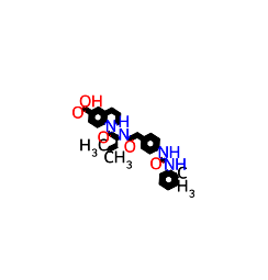 Cc1ccccc1NC(=O)Nc1ccc(CC(=O)N[C@@H](CC(C)C)C(=O)N2CCCc3cc(C(=O)O)ccc32)cc1